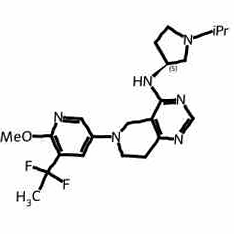 COc1ncc(N2CCc3ncnc(N[C@H]4CCN(C(C)C)C4)c3C2)cc1C(C)(F)F